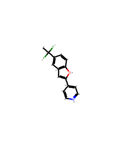 CC(F)(F)c1ccc2oc(-c3ccncc3)cc2c1